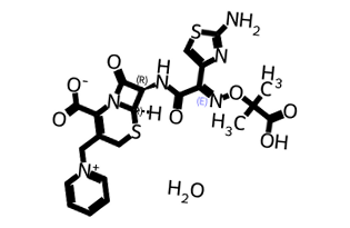 CC(C)(O/N=C(/C(=O)N[C@@H]1C(=O)N2C(C(=O)[O-])=C(C[n+]3ccccc3)CS[C@H]12)c1csc(N)n1)C(=O)O.O